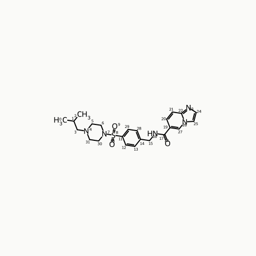 CC(C)CN1CCN(S(=O)(=O)c2ccc(CNC(=O)c3ccc4nccn4c3)cc2)CC1